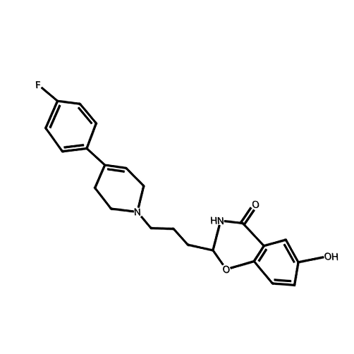 O=C1NC(CCCN2CC=C(c3ccc(F)cc3)CC2)Oc2ccc(O)cc21